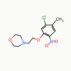 Cc1cc([N+](=O)[O-])c(OCCN2CCOCC2)cc1Cl